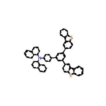 c1ccc2c(N(c3ccc(-c4cc(-c5ccc6sc7ccccc7c6c5)cc(-c5ccc6sc7ccccc7c6c5)c4)cc3)c3cccc4ccccc34)cccc2c1